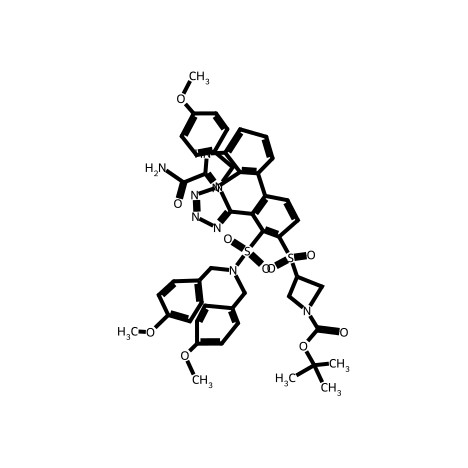 COc1ccc(CN(Cc2ccc(OC)cc2)S(=O)(=O)c2c(S(=O)(=O)C3CN(C(=O)OC(C)(C)C)C3)ccc(-c3cccc4[nH]c(C(N)=O)nc34)c2-c2nnnn2Cc2ccc(OC)cc2)cc1